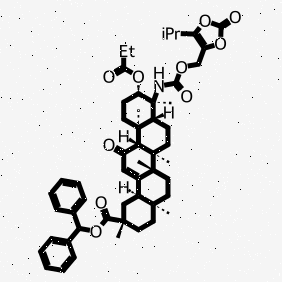 CCC(=O)O[C@H]1CC[C@@]2(C)[C@@H](CC[C@]3(C)[C@@H]2C(=O)C=C2[C@@H]4C[C@@](C)(C(=O)OC(c5ccccc5)c5ccccc5)CC[C@]4(C)CC[C@]23C)[C@]1(C)NC(=O)OCc1oc(=O)oc1C(C)C